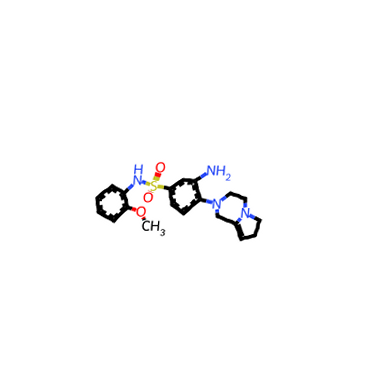 COc1ccccc1NS(=O)(=O)c1ccc(N2CCN3CCC=C3C2)c(N)c1